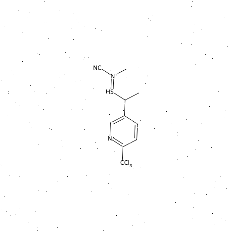 CC(/[SH]=[N+](\C)C#N)c1ccc(C(Cl)(Cl)Cl)nc1